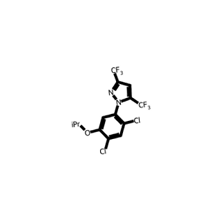 CC(C)Oc1cc(-n2nc(C(F)(F)F)cc2C(F)(F)F)c(Cl)cc1Cl